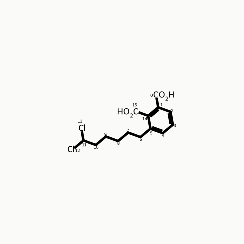 O=C(O)c1cccc(CCCCCC(Cl)Cl)c1C(=O)O